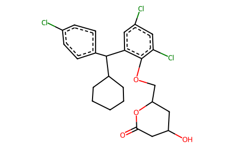 O=C1CC(O)CC(COc2c(Cl)cc(Cl)cc2C(c2ccc(Cl)cc2)C2CCCCC2)O1